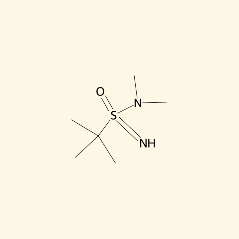 CN(C)S(=N)(=O)C(C)(C)C